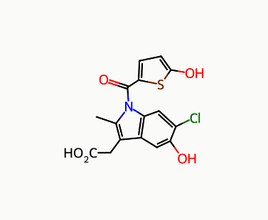 Cc1c(CC(=O)O)c2cc(O)c(Cl)cc2n1C(=O)c1ccc(O)s1